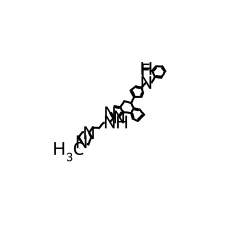 CN1CCN(CCCNc2ncc3c(n2)-c2ccccc2C(c2ccc(NCc4ccccc4F)cc2)C3)CC1